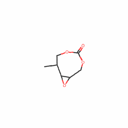 CC1COC(=O)OCC2OC12